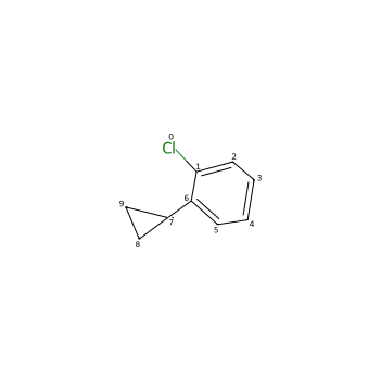 Clc1ccccc1[C]1CC1